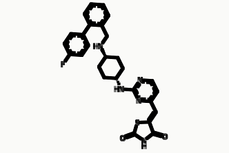 O=C1NC(=O)C(=Cc2ccnc(N[C@H]3CC[C@H](NCc4ccccc4-c4ccc(F)cc4)CC3)n2)S1